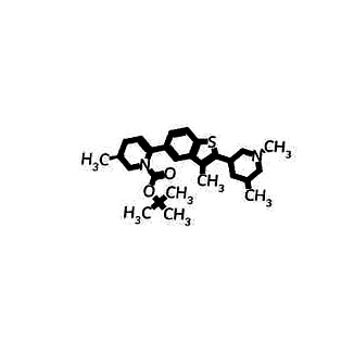 Cc1c(C2CC(C)CN(C)C2)sc2ccc(C3=CC[C@H](C)CN3C(=O)OC(C)(C)C)cc12